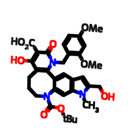 COc1ccc(Cn2c3c(c(O)c(C(=O)O)c2=O)CCCN(C(=O)OC(C)(C)C)c2cc4c(cc2-3)cc(CO)n4C)c(OC)c1